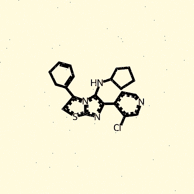 Clc1cnccc1-c1nc2scc(C3=CC=CCC3)n2c1NC1CCCC1